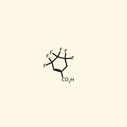 O=C(O)C1=CC(F)(F)C(F)(F)C(F)(F)C1